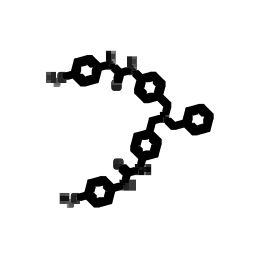 Cc1ccc(NC(=O)Nc2ccc(CN(Cc3ccccc3)Cc3ccc(NC(=O)Nc4ccc(C)cc4)cc3)cc2)cc1